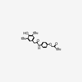 CC(C)(C)C(=O)COc1ccc(NC(=O)Cc2cc(C(C)(C)C)c(O)c(C(C)(C)C)c2)cc1